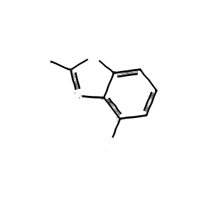 Fc1nc2c(F)cccc2o1